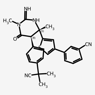 CN1C(=N)N[C@](C)(c2cc(-c3cccc(C#N)c3)cs2)[C@@H](c2ccc(C(C)(C)C#N)cc2)C1=O